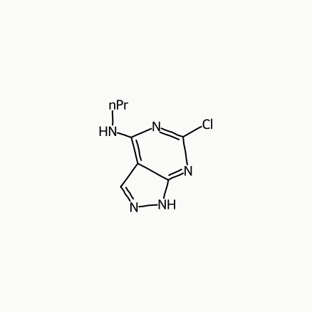 CCCNc1nc(Cl)nc2[nH]ncc12